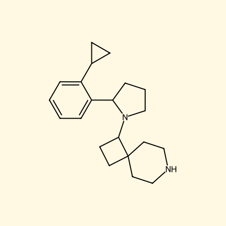 c1ccc(C2CCCN2C2CCC23CCNCC3)c(C2CC2)c1